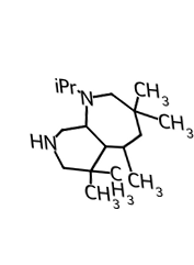 CC1CC(C)(C)CN(C(C)C)C2CNCC(C)(C)C12